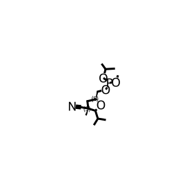 COP(OC[C@@H]1C[C@@](C)(C#N)C(C(C)C)O1)OC(C)C